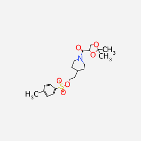 Cc1ccc(S(=O)(=O)OCCC2CCN(C(=O)C3COC(C)(C)O3)CC2)cc1